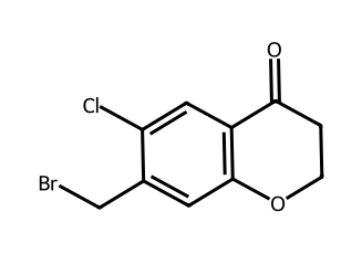 O=C1CCOc2cc(CBr)c(Cl)cc21